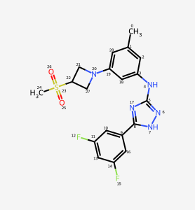 Cc1cc(Nc2n[nH]c(-c3cc(F)cc(F)c3)n2)cc(N2CC(S(C)(=O)=O)C2)c1